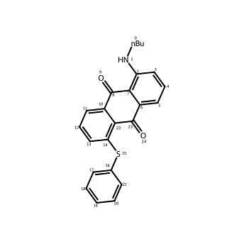 CCCCNc1cccc2c1C(=O)c1cccc(Sc3ccccc3)c1C2=O